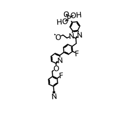 COCCn1c(Cc2ccc(-c3cccc(OCc4ccc(C#N)cc4F)n3)cc2F)nc2ccc(P(=O)(O)O)cc21